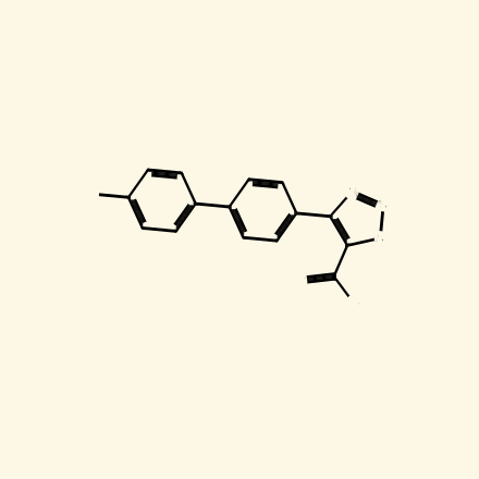 O=C(O)c1[nH]nnc1-c1ccc(-c2ccc(Br)cc2)cc1